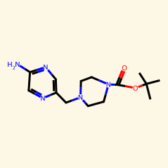 CC(C)(C)OC(=O)N1CCN(Cc2cnc(N)cn2)CC1